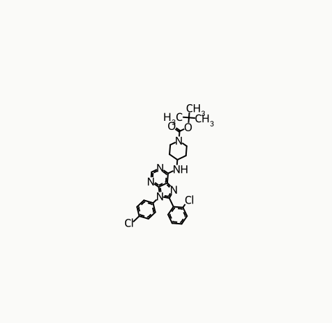 CC(C)(C)OC(=O)N1CCC(Nc2ncnc3c2nc(-c2ccccc2Cl)n3-c2ccc(Cl)cc2)CC1